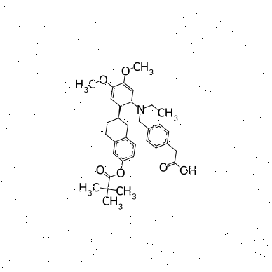 CCN(Cc1ccc(CC(=O)O)cc1)C1C=C(OC)C(OC)=CC1[C@@H]1CCc2cc(OC(=O)C(C)(C)C)ccc2C1